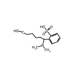 CN(C)C(CCCCCO)c1ccccc1S(=O)(=O)O